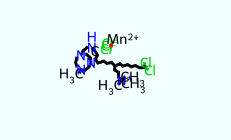 CN1CCCN2CCNCCC(CCCCC(CCCCCCC(Cl)Cl)CCC[N+](C)(C)C)N(CC1)CC2.[Cl-].[Cl-].[Cl-].[Mn+2]